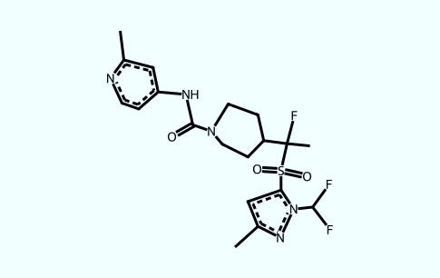 Cc1cc(NC(=O)N2CCC(C(C)(F)S(=O)(=O)c3cc(C)nn3C(F)F)CC2)ccn1